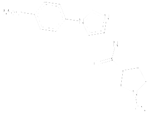 COc1ccc(-n2cnc(NC(=O)C3CCN(C#N)C3)c2)cc1